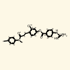 Cc1ccc(N(C)C(=O)CCc2ccc(OC(=O)c3ccc(NC(=N)N)cc3)cc2Cl)cc1